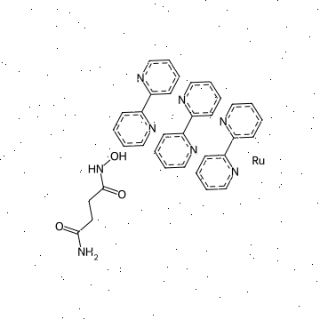 NC(=O)CCC(=O)NO.[Ru].c1ccc(-c2ccccn2)nc1.c1ccc(-c2ccccn2)nc1.c1ccc(-c2ccccn2)nc1